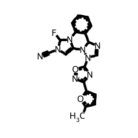 Cc1ccc(-c2noc(N3C=NC4c5ccccc5N5C(=CN(C#N)C5F)N43)n2)o1